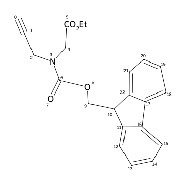 C#CCN(CC(=O)OCC)C(=O)OCC1c2ccccc2-c2ccccc21